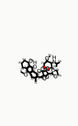 COc1c2c(c(O)c3c4c(c(C)cc13)C1OC3(C5OCCO5)OC1[C@@](O[C@H]1CC(OC)[C@@H](NC(C)C)CO1)(O4)[C@@]31CO1)C(=O)CCC2